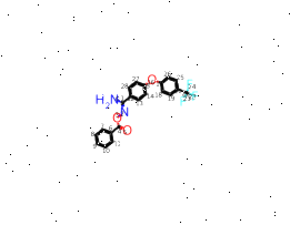 NC(=NOC(=O)c1ccccc1)c1ccc(Oc2ccc(C(F)(F)F)cc2)cc1